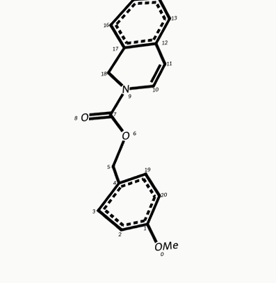 COc1ccc(COC(=O)N2C=Cc3ccccc3C2)cc1